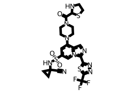 N#CC1(NS(=O)(=O)c2cc(N3CCN(C(=O)C4NCCS4)CC3)c3cnc(-c4nnc(C(F)(F)F)s4)n3c2)CC1